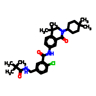 CC1(C)CCC(N2CC(C)(C)c3ccc(NC(=O)c4cc(CNC(=O)C(C)(C)C)ccc4Cl)cc3C2=O)CC1